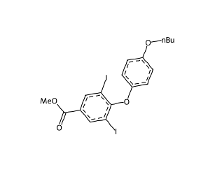 CCCCOc1ccc(Oc2c(I)cc(C(=O)OC)cc2I)cc1